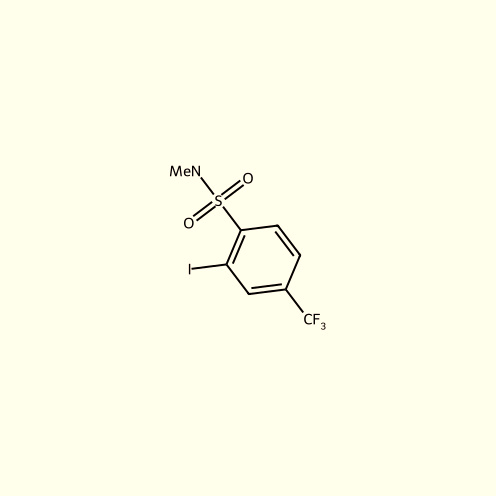 CNS(=O)(=O)c1ccc(C(F)(F)F)cc1I